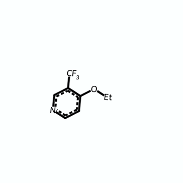 CCOc1ccncc1C(F)(F)F